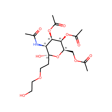 CC(=O)N[C@H]1[C@@H](OC(C)=O)[C@@H](OC(C)=O)[C@@H](COC(C)=O)O[C@@]1(O)CCOCCO